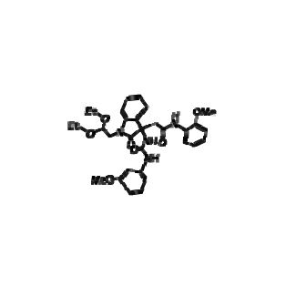 CCOC(CN1C(=O)C(CC(=O)Nc2ccccc2OC)(NC(=O)Nc2cccc(OC)c2)c2ccccc21)OCC